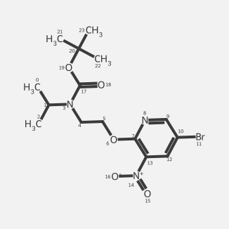 CC(C)N(CCOc1ncc(Br)cc1[N+](=O)[O-])C(=O)OC(C)(C)C